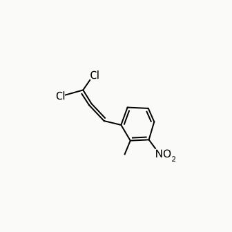 Cc1c(C=C=C(Cl)Cl)cccc1[N+](=O)[O-]